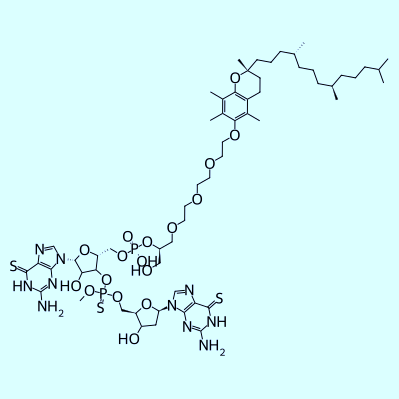 COP(=S)(OC[C@H]1O[C@@H](n2cnc3c(=S)[nH]c(N)nc32)CC1O)OC1C(O)[C@H](n2cnc3c(=S)[nH]c(N)nc32)O[C@@H]1COP(=O)(O)O[C@H](CO)COCCOCCOCCOc1c(C)c(C)c2c(c1C)CC[C@@](C)(CCC[C@H](C)CCC[C@H](C)CCCC(C)C)O2